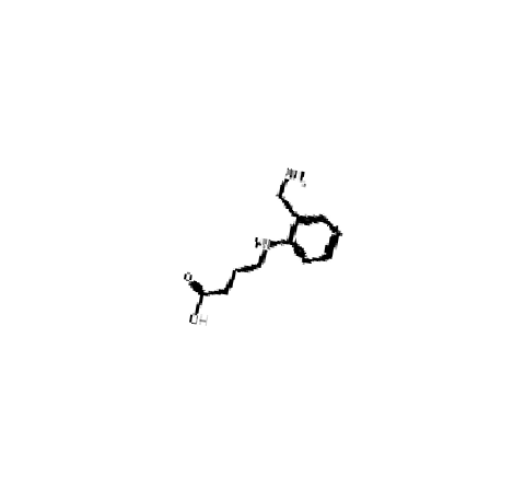 NCc1ccccc1NCCCC(=O)O